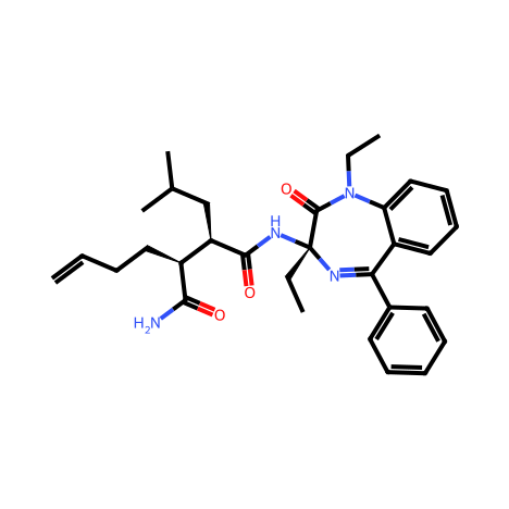 C=CCC[C@H](C(N)=O)[C@@H](CC(C)C)C(=O)N[C@@]1(CC)N=C(c2ccccc2)c2ccccc2N(CC)C1=O